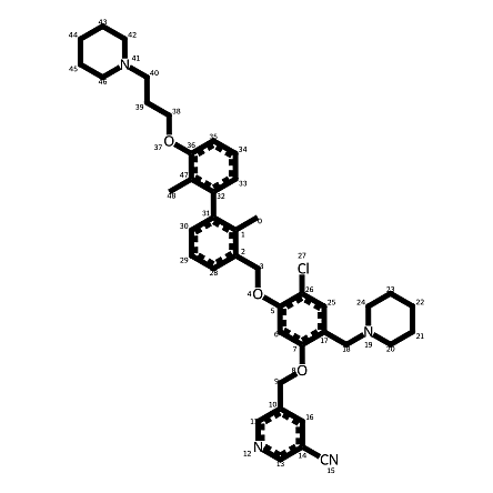 Cc1c(COc2cc(OCc3cncc(C#N)c3)c(CN3CCCCC3)cc2Cl)cccc1-c1cccc(OCCCN2CCCCC2)c1C